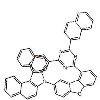 c1ccc2cc(-c3nc(-c4ccc5ccccc5c4)nc(-c4cccc5oc6ccc(-n7c8ccccc8c8c9ccccc9ccc87)cc6c45)n3)ccc2c1